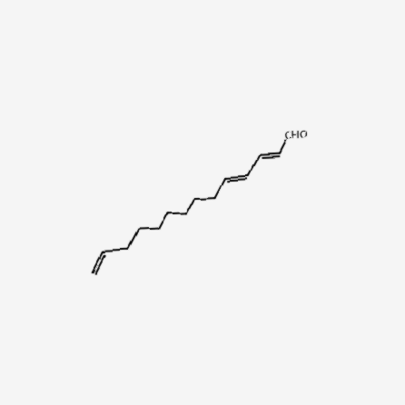 C=CCCCCCCCC=CC=CC=O